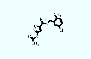 CC(=O)Nc1cc(C(=N)NCc2cc(Cl)ccc2C)on1